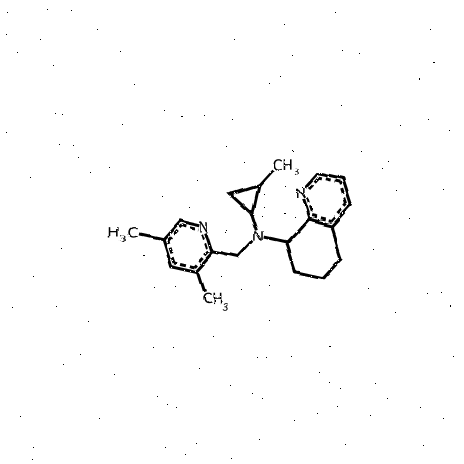 Cc1cnc(CN(C2CCCc3cccnc32)C2CC2C)c(C)c1